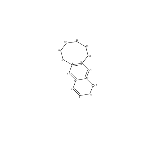 C1=Cc2cc3c(cc2OC1)CCCCCC3